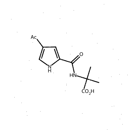 CC(=O)c1c[nH]c(C(=O)NC(C)(C)C(=O)O)c1